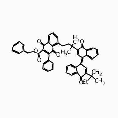 CCC(C)(C)C1=C/C(=C2/C=C(C(C)(C)CCc3cccc4c3C(=O)C(c3ccccc3)=C(C(=O)OCc3ccccc3)C4=O)C(=O)c3ccccc32)c2ccccc2C1=O